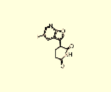 O=C1CCC(c2coc3ncc(I)cc23)C(=O)N1